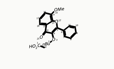 CC(=O)O.CCCCOc1c(-c2ccccc2)oc2c(OC)cccc2c1=O